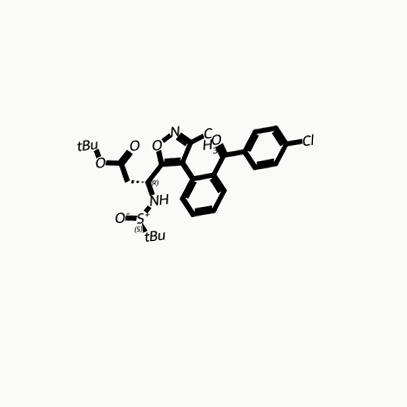 Cc1noc([C@@H](CC(=O)OC(C)(C)C)N[S@+]([O-])C(C)(C)C)c1-c1ccccc1C(=O)c1ccc(Cl)cc1